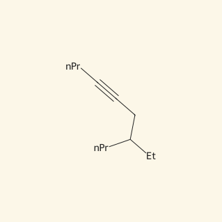 [CH2]CCC#CCC(CC)CC[CH2]